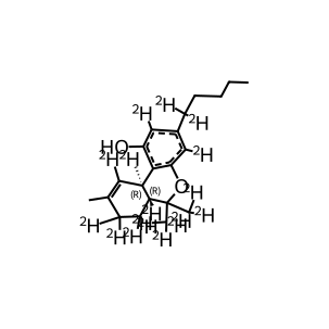 [2H]C1=C(C)C([2H])([2H])C([2H])([2H])[C@@]2([2H])C(C([2H])([2H])[2H])(C([2H])([2H])[2H])Oc3c([2H])c(C([2H])([2H])CCCC)c([2H])c(O)c3[C@]12[2H]